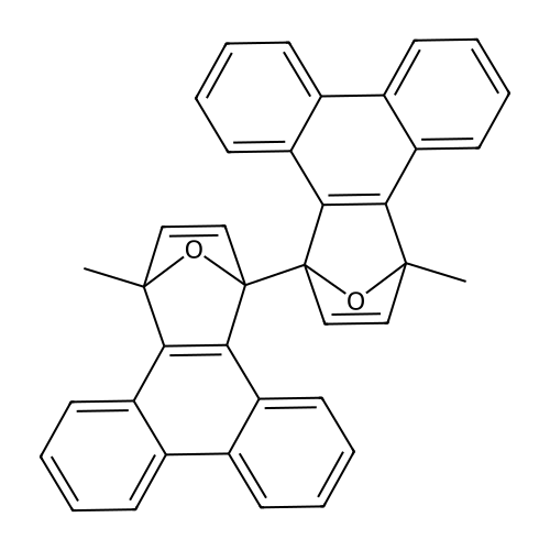 CC12C=CC(C34C=CC(C)(O3)c3c4c4ccccc4c4ccccc34)(O1)c1c2c2ccccc2c2ccccc12